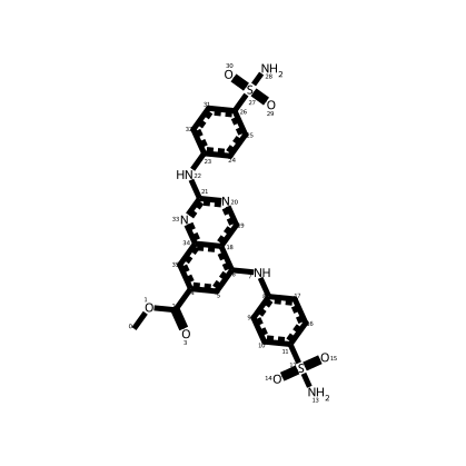 COC(=O)c1cc(Nc2ccc(S(N)(=O)=O)cc2)c2cnc(Nc3ccc(S(N)(=O)=O)cc3)nc2c1